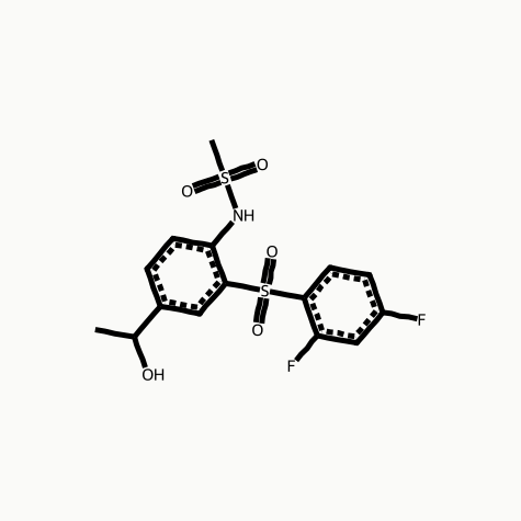 CC(O)c1ccc(NS(C)(=O)=O)c(S(=O)(=O)c2ccc(F)cc2F)c1